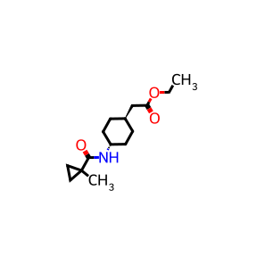 CCOC(=O)C[C@H]1CC[C@H](NC(=O)C2(C)CC2)CC1